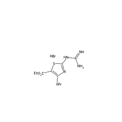 Br.CCCc1nc(NC(=N)N)sc1C(=O)OCC